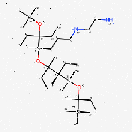 CCC(C)(O[Si](C)(CCCNCCN)C(CC)(CC)O[Si](C)(C)C)[C@](C)(CC)[Si](C)(C)OC(C)(CC)[Si](C)(C)C